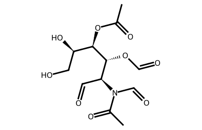 CC(=O)O[C@@H]([C@H](OC=O)[C@H](C=O)N(C=O)C(C)=O)[C@H](O)CO